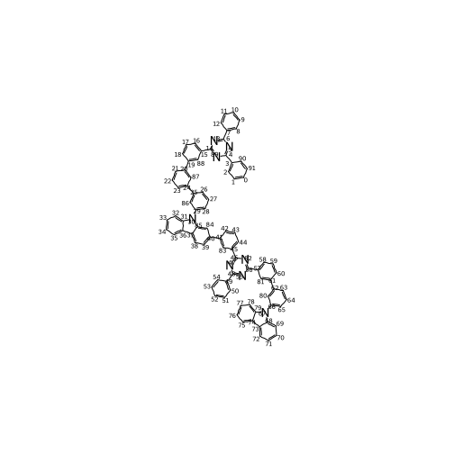 c1ccc(-c2nc(-c3ccccc3)nc(-c3cccc(-c4cccc(-c5cccc(-n6c7ccccc7c7ccc(-c8cccc(-c9nc(-c%10ccccc%10)nc(-c%10cccc(-c%11cccc(-n%12c%13ccccc%13c%13ccccc%13%12)c%11)c%10)n9)c8)cc76)c5)c4)c3)n2)cc1